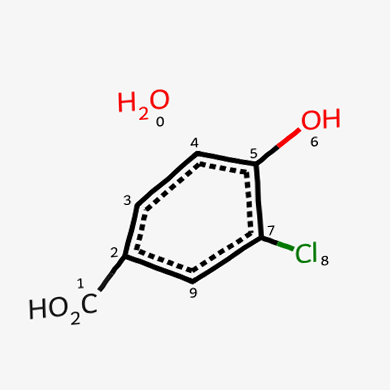 O.O=C(O)c1ccc(O)c(Cl)c1